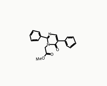 COC(=O)Cn1c(-c2ccccc2)ncc(-c2ccccc2)c1=O